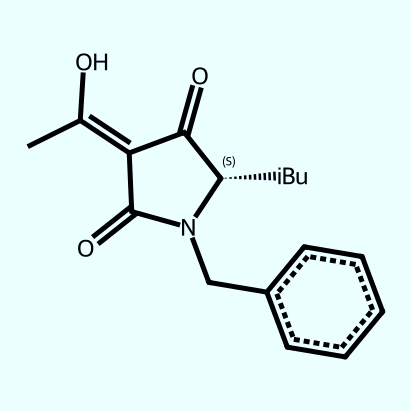 CCC(C)[C@H]1C(=O)C(=C(C)O)C(=O)N1Cc1ccccc1